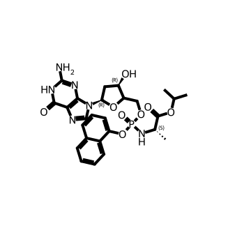 CC(C)OC(=O)[C@H](C)NP(=O)(OCC1O[C@@H](n2cnc3c(=O)[nH]c(N)nc32)C[C@H]1O)Oc1cccc2ccccc12